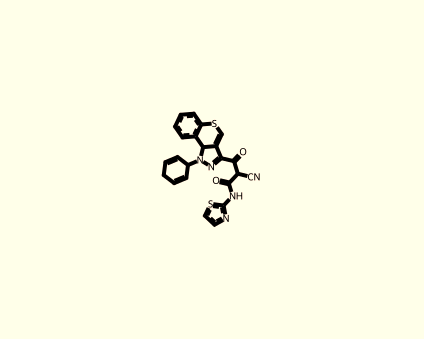 N#CC(C(=O)Nc1nccs1)C(=O)C1=NN(C2C=CCC=C2)C2C1=CSc1ccccc12